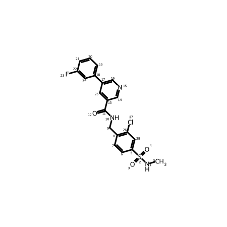 CNS(=O)(=O)c1ccc(CNC(=O)c2cncc(-c3cccc(F)c3)c2)c(Cl)c1